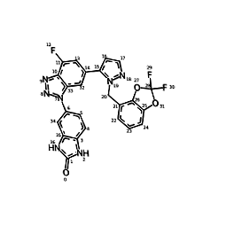 O=c1[nH]c2ccc(-n3nnc4c(F)cc(-c5ccnn5Cc5cccc6c5OC(F)(F)O6)cc43)cc2[nH]1